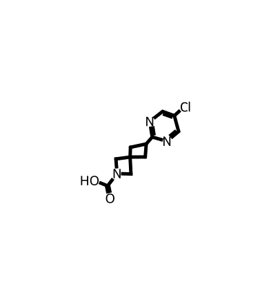 O=C(O)N1CC2(CC(c3ncc(Cl)cn3)C2)C1